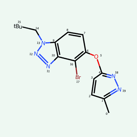 Cc1ccc(Oc2ccc3c(nnn3CC(C)(C)C)c2Br)nn1